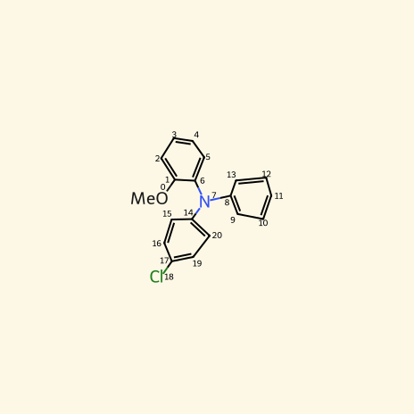 COc1ccccc1N(c1ccccc1)c1ccc(Cl)cc1